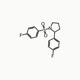 O=S(=O)(c1ccc(F)cc1)N1CCCC1c1ccc(F)cc1